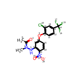 CC(=O)N(C)Nc1cc(Oc2ccc(C(F)(F)F)cc2Cl)ccc1[N+](=O)[O-]